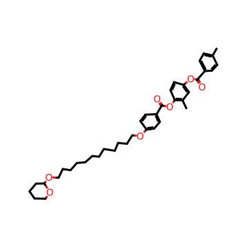 Cc1ccc(C(=O)Oc2ccc(OC(=O)c3ccc(OCCCCCCCCCCCCOC4CCCCO4)cc3)c(C)c2)cc1